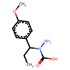 CCC(c1ccc(OC)cc1)N(N)C(=O)O